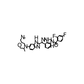 CC1COC(CN(C)C)CN1c1ccc2nc(-c3n[nH]c4c(NC(=O)c5ccc(F)cc5F)cccc34)[nH]c2c1